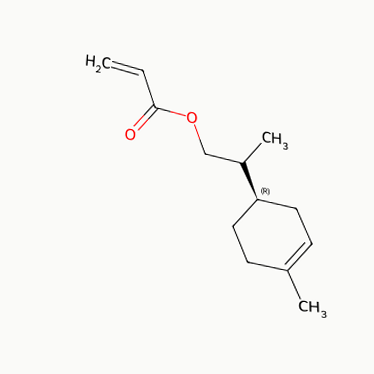 C=CC(=O)OCC(C)[C@H]1CC=C(C)CC1